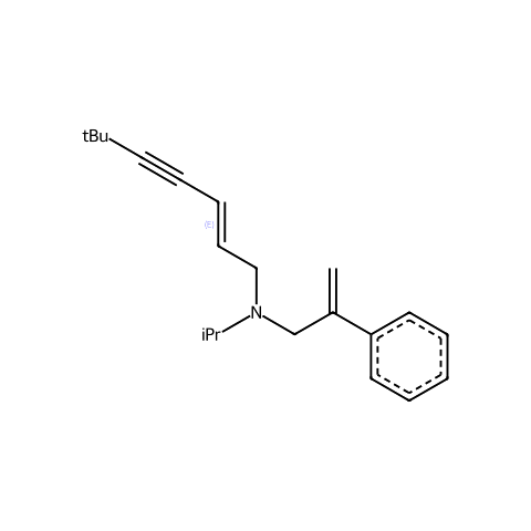 C=C(CN(C/C=C/C#CC(C)(C)C)C(C)C)c1ccccc1